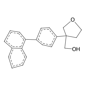 OCC1(c2ccc(-c3cccc4ccccc34)cc2)CCOC1